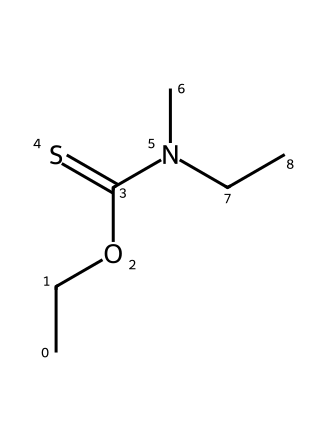 CCOC(=S)N(C)CC